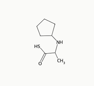 CC(NC1CCCC1)C(=O)S